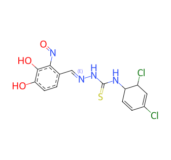 O=Nc1c(/C=N/NC(=S)NC2C=CC(Cl)=CC2Cl)ccc(O)c1O